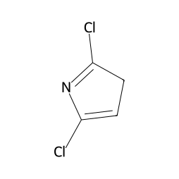 ClC1=CCC(Cl)=N1